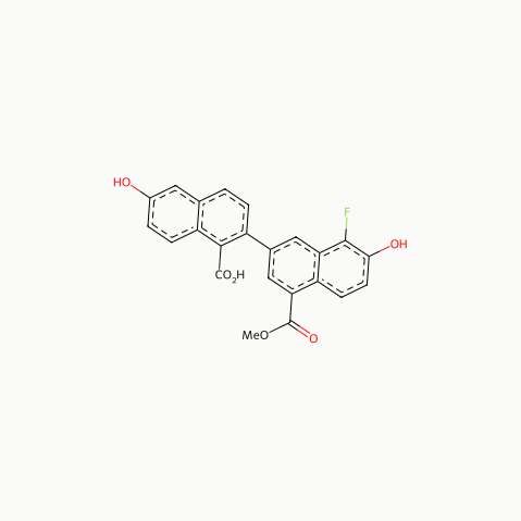 COC(=O)c1cc(-c2ccc3cc(O)ccc3c2C(=O)O)cc2c(F)c(O)ccc12